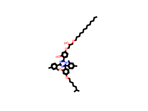 CCCCCCCCCCCCCOCC(O)COc1ccc(C2=NC(c3ccc(C)cc3C)=NC(c3ccc(C)cc3C)(c3ccc(OCCCCCC(C)C)cc3O)N2)c(O)c1